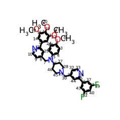 COc1ccc(N(Cc2ccnc(-c3cc(OC)c(OC)c(OC)c3)c2)C2CCN(Cc3ccnc(-c4cc(F)cc(F)c4)c3)CC2)cc1